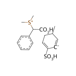 CC1C=[C-]C(S(=O)(=O)O)=CC1.C[S+](C)C(C(=O)O)c1ccccc1